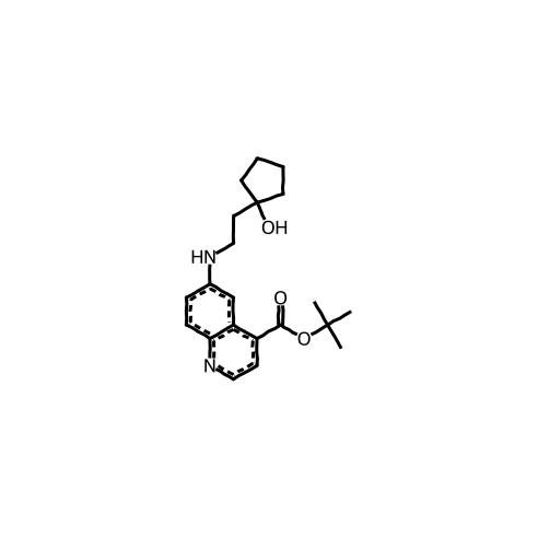 CC(C)(C)OC(=O)c1ccnc2ccc(NCCC3(O)CCCC3)cc12